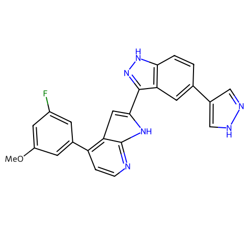 COc1cc(F)cc(-c2ccnc3[nH]c(-c4n[nH]c5ccc(-c6cn[nH]c6)cc45)cc23)c1